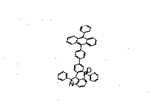 O=P1(c2ccccc2)c2cc(-c3ccc(-c4c5ccccc5c(-c5ccccc5)c5ccccc45)cc3)ccc2C2C(c3ccccc3)=Nc3cccc1c32